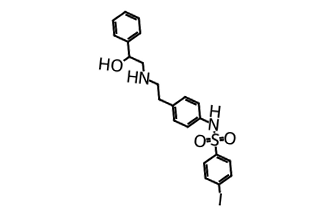 O=S(=O)(Nc1ccc(CCNCC(O)c2ccccc2)cc1)c1ccc(I)cc1